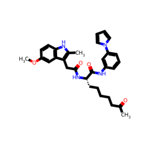 COc1ccc2[nH]c(C)c(CC(=O)N[C@@H](CCCCCC(C)=O)C(=O)Nc3cccc(-n4cccc4)c3)c2c1